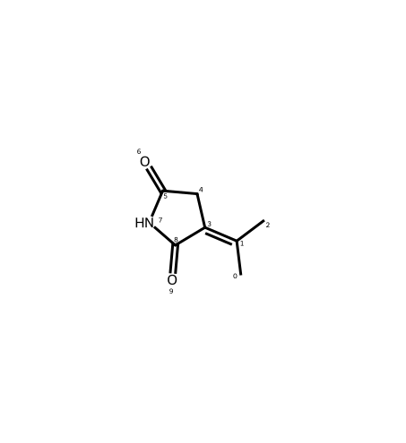 CC(C)=C1CC(=O)NC1=O